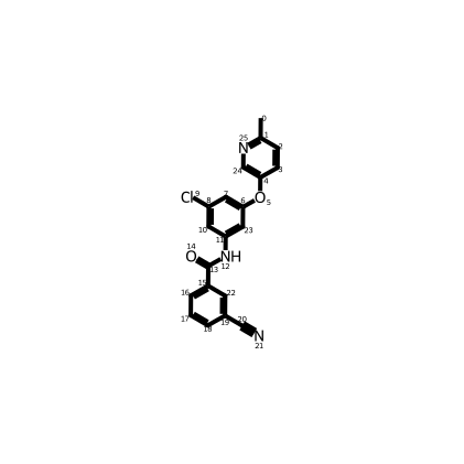 Cc1ccc(Oc2cc(Cl)cc(NC(=O)c3cccc(C#N)c3)c2)cn1